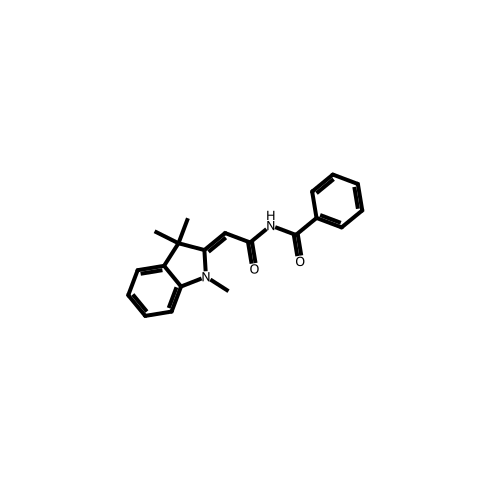 CN1C(=CC(=O)NC(=O)c2ccccc2)C(C)(C)c2ccccc21